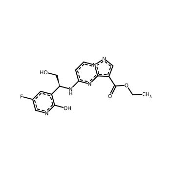 CCOC(=O)c1cnn2ccc(N[C@H](CO)c3cc(F)cnc3O)nc12